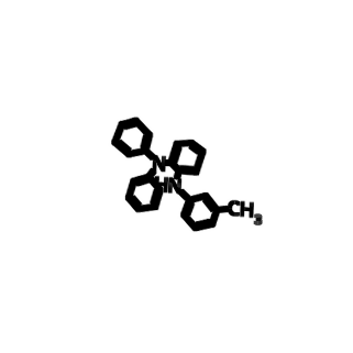 Cc1cccc(Nc2ccccc2N(c2ccccc2)c2ccccc2)c1